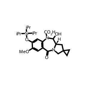 COc1cc2c(cc1O[Si](C(C)C)(C(C)C)C(C)C)N(C(=O)O)C(O)[C@@H]1CC3(CC3)CN1C2=O